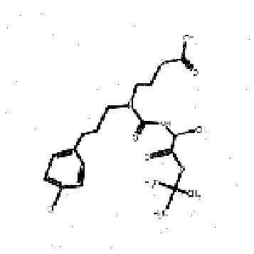 CC(=O)SCCN(CCCc1ccc(Cl)cc1)C(=O)N[C@@H](C)C(=O)OC(C)(C)C